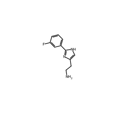 NCCc1c[nH]c(-c2cccc(F)c2)n1